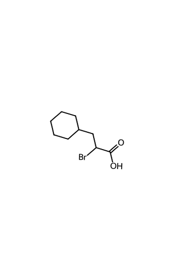 O=C(O)C(Br)CC1CCCCC1